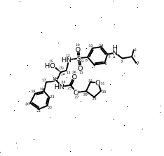 CC(C)CNc1ccc(S(=O)(=O)NC[C@H](O)[C@H](Cc2ccccc2)NC(=O)OC2CCOC2)cc1